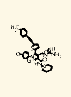 Cc1ccc(C#Cc2ccc(-c3c(CNC(=N)N)c(C(=O)NN4CCCCC4)nn3-c3ccc(Cl)cc3Cl)s2)cc1